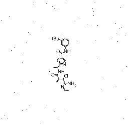 C=C(C(=O)NC(C)c1ncc(C(=O)Nc2cccc(C(C)(C)C)c2)o1)/C(Cl)=C(N)\N=C/C